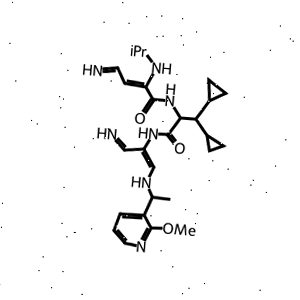 COc1ncccc1C(C)N/C=C(\C=N)NC(=O)C(NC(=O)/C(=C/C=N)NC(C)C)C(C1CC1)C1CC1